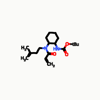 C=CC(=O)N(CCC(=C)C)C1CCCCC1NC(=O)OC(C)(C)C